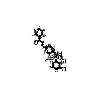 COc1nc(SCC(=O)c2cccnc2)cnc1NS(=O)(=O)c1cccc(Cl)c1Cl